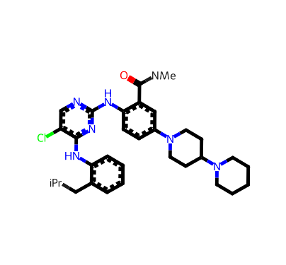 CNC(=O)c1cc(N2CCC(N3CCCCC3)CC2)ccc1Nc1ncc(Cl)c(Nc2ccccc2CC(C)C)n1